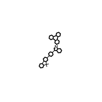 CC1(C)c2ccccc2-c2ccc(-c3ccc(-c4cn(-c5ccc6c7ccccc7c7ccccc7c6c5)c5ccccc45)cc3)cc21